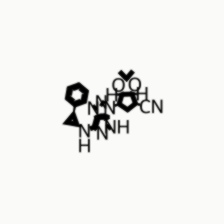 CC1(C)O[C@@H]2[C@H](O1)[C@@H](C#N)C[C@H]2n1nnc2c(N[C@@H]3C[C@H]3c3ccccc3)n[nH]c21